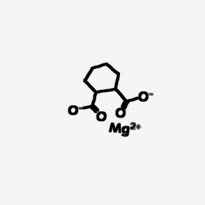 O=C([O-])C1CCCCC1C(=O)[O-].[Mg+2]